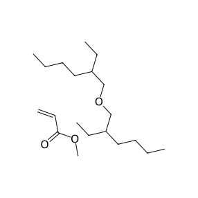 C=CC(=O)OC.CCCCC(CC)COCC(CC)CCCC